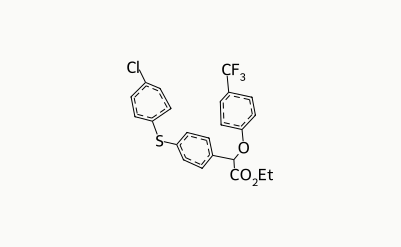 CCOC(=O)C(Oc1ccc(C(F)(F)F)cc1)c1ccc(Sc2ccc(Cl)cc2)cc1